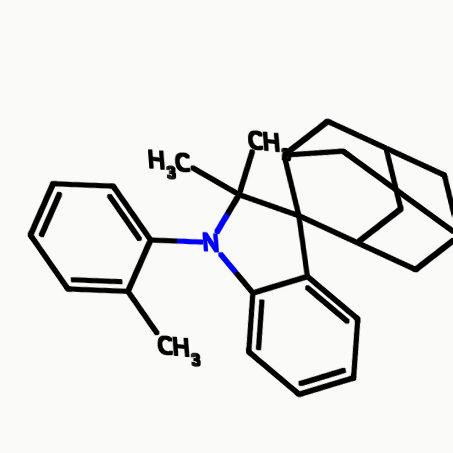 Cc1ccccc1N1c2ccccc2C2(C3CC4CC(C3)CC2C4)C1(C)C